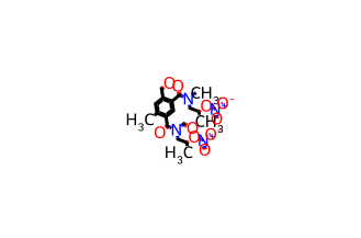 Cc1cc(C=O)c(C(=O)N(C)CC(C)O[N+](=O)[O-])cc1C(=O)N(C=O)CC(C)O[N+](=O)[O-]